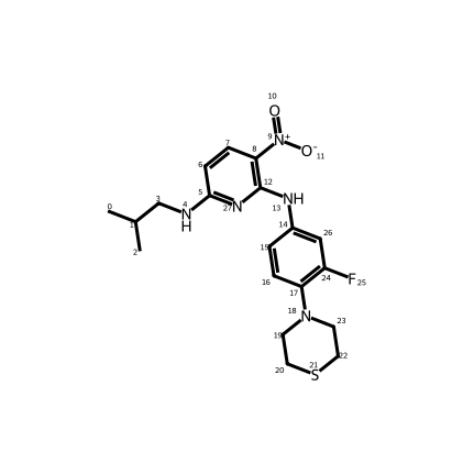 CC(C)CNc1ccc([N+](=O)[O-])c(Nc2ccc(N3CCSCC3)c(F)c2)n1